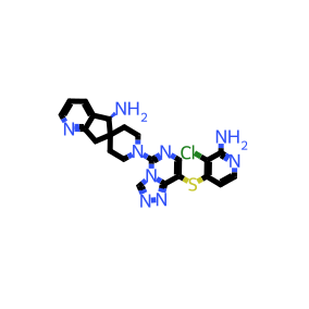 Nc1nccc(Sc2cnc(N3CCC4(CC3)Cc3ncccc3[C@H]4N)n3cnnc23)c1Cl